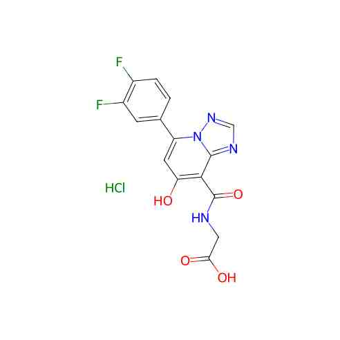 Cl.O=C(O)CNC(=O)c1c(O)cc(-c2ccc(F)c(F)c2)n2ncnc12